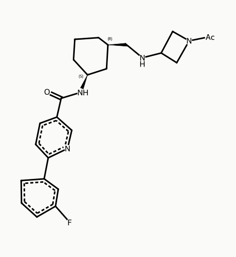 CC(=O)N1CC(NC[C@@H]2CCC[C@H](NC(=O)c3ccc(-c4cccc(F)c4)nc3)C2)C1